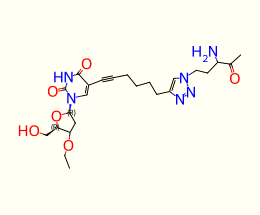 CCOC1C[C@H](n2cc(C#CCCCCc3cn(CCC(N)C(C)=O)nn3)c(=O)[nH]c2=O)O[C@@H]1CO